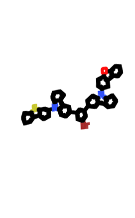 Brc1cc(-c2ccc3c(c2)c2ccccc2n3-c2ccc3c(c2)sc2ccccc23)cc(-c2ccc3c(c2)c2ccccc2n3-c2ccc3oc4ccccc4c3c2)c1